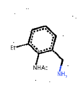 CCc1cccc(CN)c1NC(C)=O